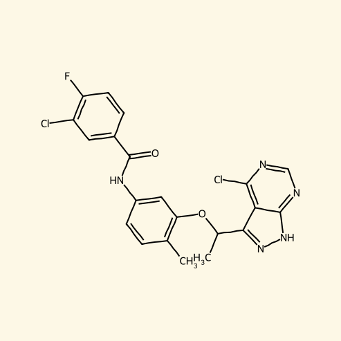 Cc1ccc(NC(=O)c2ccc(F)c(Cl)c2)cc1OC(C)c1n[nH]c2ncnc(Cl)c12